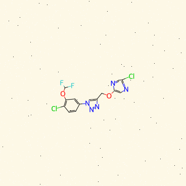 FC(F)Oc1cc(-n2cc(COc3cnc(Cl)cn3)nn2)ccc1Cl